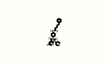 O=C(CCCCc1ccccc1)NC1CCC(n2c(=O)c3cc(F)cnc3n(C3CCSCC3)c2=O)CC1